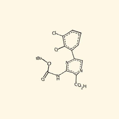 CC(C)(C)OC(=O)Nc1nc(-c2cccc(Cl)c2Cl)cnc1C(=O)O